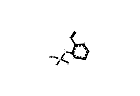 C=Cc1ccccc1O[Si](C)(C)CCCC